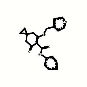 O=C1CC2(CC2)CC(NCc2ccncc2)=C1C(=S)Nc1ccccc1